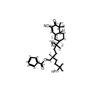 CCCC(C)(C)CC[C@@](C)(CCC(C)(C)[C@]1(C)CC[C@H]2C(C)(C)C(=O)C(C#N)=C[C@]2(C)[C@H]1CC(C)=O)COC(=O)c1ccccc1